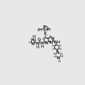 CC(C)[Si](C#Cc1cc(NC(=O)Nc2ncc[nH]2)nc2nc(Nc3ccc(N4CCN(C)CC4)cc3)ncc12)(C(C)C)C(C)C